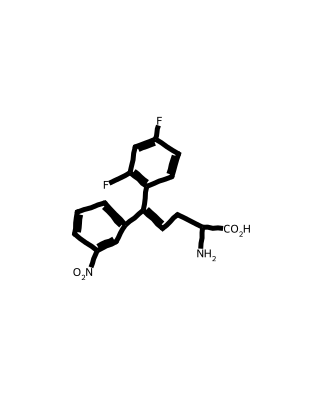 NC(CC=C(c1cccc([N+](=O)[O-])c1)c1ccc(F)cc1F)C(=O)O